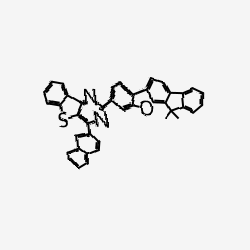 CC1(C)c2ccccc2-c2ccc3c(oc4cc(-c5nc(-c6ccc7ccccc7c6)c6sc7ccccc7c6n5)ccc43)c21